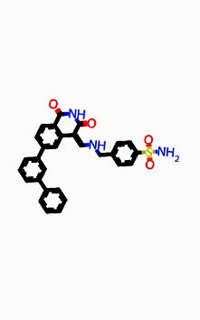 NS(=O)(=O)c1ccc(CNC=C2C(=O)NC(=O)c3ccc(-c4cccc(-c5ccccc5)c4)cc32)cc1